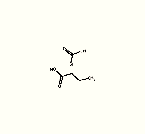 CC(=O)S.CCCC(=O)O